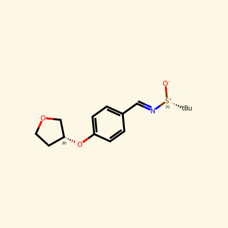 CC(C)(C)[S@@+]([O-])N=Cc1ccc(O[C@@H]2CCOC2)cc1